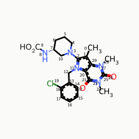 Cc1c(N2CCC[C@@H](NC(=O)O)C2)n(Cc2ccccc2Cl)c2c(=O)n(C)c(=O)n(C)c12